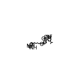 COc1c(F)cc(C(C)C)cc1C(C(=O)O)N1CC[C@@H](OCCCCCc2ccc3c(n2)NCCN3C)C1